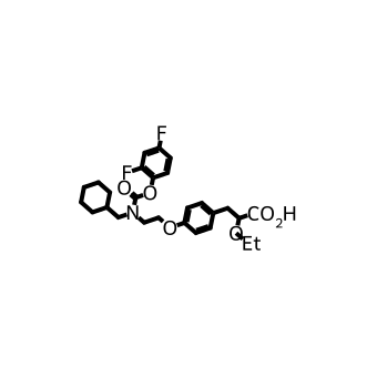 CCOC(Cc1ccc(OCCN(CC2CCCCC2)C(=O)Oc2ccc(F)cc2F)cc1)C(=O)O